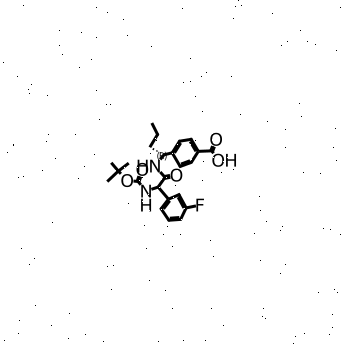 CCC[C@@H](NC(=O)C(NC(=O)OC(C)(C)C)c1cccc(F)c1)c1ccc(C(=O)O)cc1